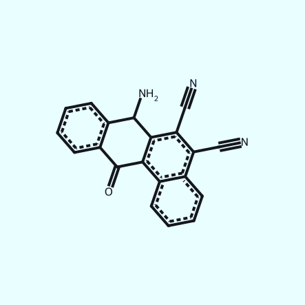 N#Cc1c2c(c3ccccc3c1C#N)C(=O)c1ccccc1C2N